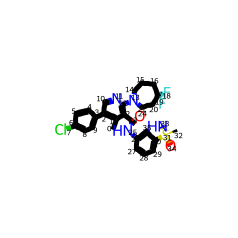 Cc1c(-c2ccc(Cl)cc2)cnc(N2CCCC(F)(F)CC2)c1C(=O)Nc1cccc([S@](C)(=N)=O)c1